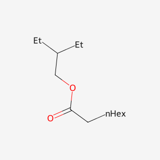 CCCCCCCC(=O)OCC(CC)CC